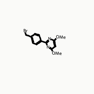 COc1cc(OC)nc(-c2ccc(CBr)cc2)n1